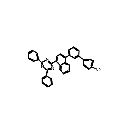 N#Cc1ccc(-c2cccc(-c3ccc(-c4nc(-c5ccccc5)nc(-c5ccccc5)n4)c4ccccc34)c2)cc1